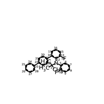 CC(C)(C)N(c1ccccc1F)c1c(F)cccc1-c1ccc(-c2ccccc2)cc1